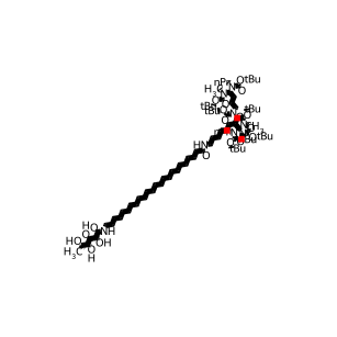 CCCCN(C(=O)OC(C)(C)C)C(C(CCCCCCNC(=O)CCCCCCCCCCCCCCCCCCCCCCCNC(=O)[C@H](O)[C@@H](O)[C@H](O)[C@@H](C)O)CN(CCCC(N(C)C(=O)OC(C)(C)C)N(CCC)C(=O)OC(C)(C)C)C(=O)OC(C)(C)C)(N(C)C(=O)OC(C)(C)C)N(CCC)C(=O)OC(C)(C)C